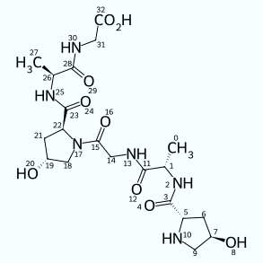 C[C@H](NC(=O)[C@@H]1C[C@@H](O)CN1)C(=O)NCC(=O)N1C[C@H](O)C[C@H]1C(=O)N[C@@H](C)C(=O)NCC(=O)O